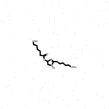 CCCCCCCCCCCCCCCC(=O)OC1CN(CC)C(CCCCCCCCCCCCCCC)=N1